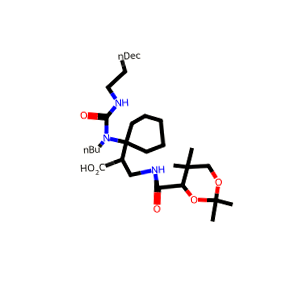 CCCCCCCCCCCCNC(=O)N(CCCC)C1(C(CNC(=O)C2OC(C)(C)OCC2(C)C)C(=O)O)CCCCC1